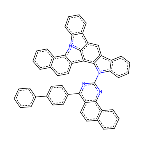 c1ccc(-c2ccc(-c3nc(-n4c5ccccc5c5cc6c7ccccc7n7c8c9ccccc9ccc8c(c54)c67)nc4c3ccc3ccccc34)cc2)cc1